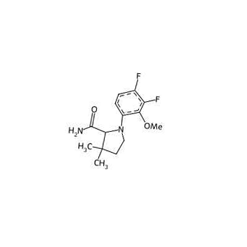 COc1c(N2CCC(C)(C)C2C(N)=O)ccc(F)c1F